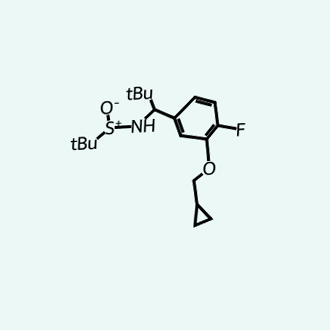 CC(C)(C)C(N[S+]([O-])C(C)(C)C)c1ccc(F)c(OCC2CC2)c1